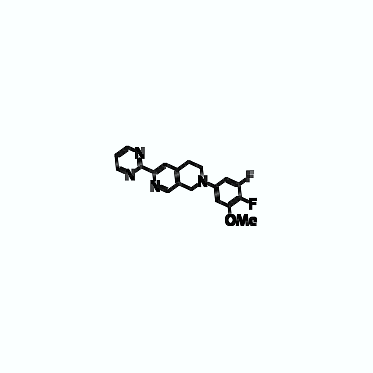 COc1cc(N2CCc3cc(-c4ncccn4)ncc3C2)cc(F)c1F